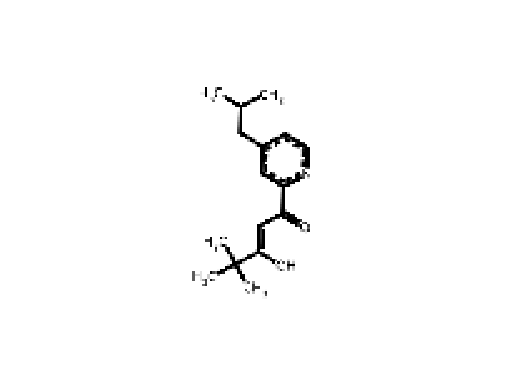 CC(C)Cc1ccnc(C(=O)/C=C(\O)C(C)(C)C)c1